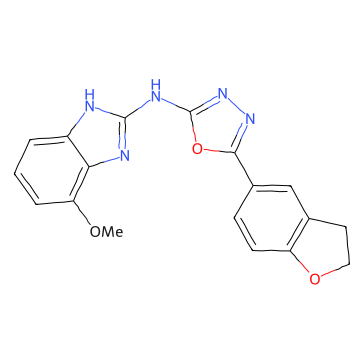 COc1cccc2[nH]c(Nc3nnc(-c4ccc5c(c4)CCO5)o3)nc12